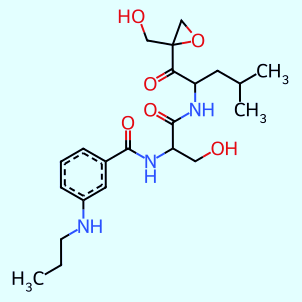 CCCNc1cccc(C(=O)NC(CO)C(=O)NC(CC(C)C)C(=O)C2(CO)CO2)c1